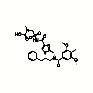 COc1cc(C(=O)N(CCCc2ccccc2)Cc2nc(C(=O)NS(=O)(=O)CN(C)C(=O)O)cs2)cc(OC)c1C